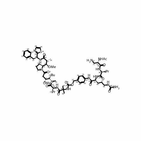 CC[C@H](C)[C@@H]([C@@H](CC(=O)N1CCC[C@H]1[C@H](OC)[C@@H](C)C(=O)N[C@@H](Cc1ccccc1)c1nccs1)OC)N(C)C(=O)[C@@H](NC(=O)C(C)(C)NC(=O)OCc1ccc(NC(=O)[C@H](CCCNC(N)=O)NC(=O)[C@@H](NC(=O)[C@H](CN)NC(C)=O)C(C)C)cc1)C(C)C